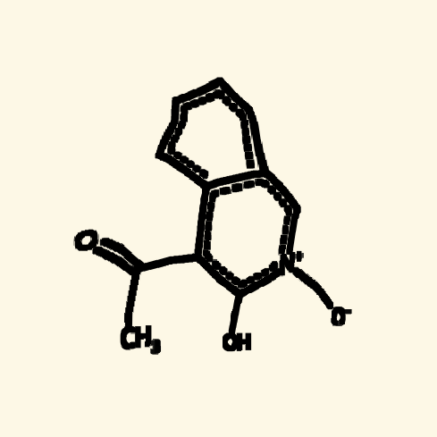 CC(=O)c1c(O)[n+]([O-])cc2ccccc12